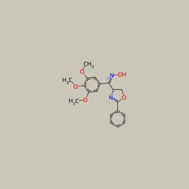 COc1cc(/C(=N/O)C2COC(c3ccccc3)=N2)cc(OC)c1OC